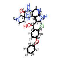 CN1CCC2(C1)Nc1c(cnc3[nH]cc(C(O)c4ccc(Oc5ccccc5)cc4Cl)c13)NC2=O